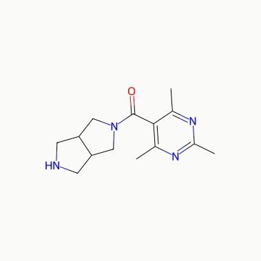 Cc1nc(C)c(C(=O)N2CC3CNCC3C2)c(C)n1